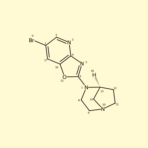 Brc1cnc2nc(N3CCN4CC[C@H]3C4)oc2c1